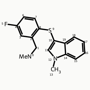 CNCc1cc(F)ccc1Sc1cn(C)c2ccccc12